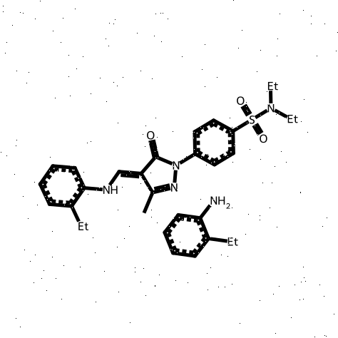 CCc1ccccc1N.CCc1ccccc1NC=C1C(=O)N(c2ccc(S(=O)(=O)N(CC)CC)cc2)N=C1C